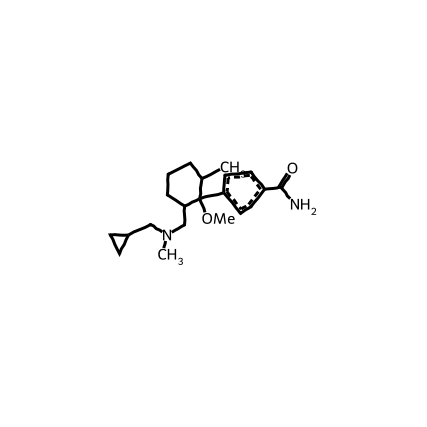 COC1(c2ccc(C(N)=O)cc2)C(C)CCCC1CN(C)CC1CC1